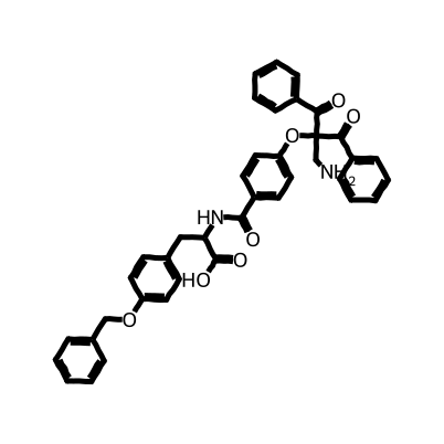 NCC(Oc1ccc(C(=O)NC(Cc2ccc(OCc3ccccc3)cc2)C(=O)O)cc1)(C(=O)c1ccccc1)C(=O)c1ccccc1